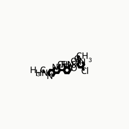 CNc1cc2nc(C)c(-c3cccc(NS(=O)(=O)c4cc(Cl)cnc4OC)c3F)cc2cn1